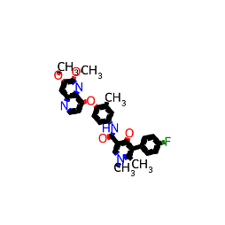 COc1cc2nccc(Oc3ccc(NC(=O)c4cn(C)c(C)c(-c5ccc(F)cc5)c4=O)cc3C)c2nc1OC